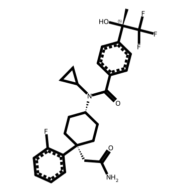 C[C@](O)(c1ccc(C(=O)N(C2CC2)[C@H]2CC[C@](CC(N)=O)(c3ccccc3F)CC2)cc1)C(F)(F)F